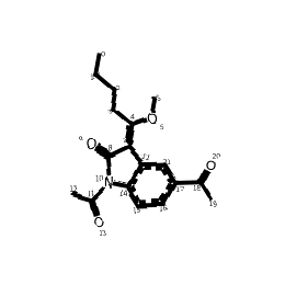 CCCCC(OC)=C1C(=O)N(C(C)=O)c2ccc(C(C)=O)cc21